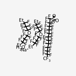 CCC(F)(F)C(F)(F)C(F)(F)OC(F)(F)C(F)(F)C(F)(F)CC.CCC(F)(F)C(F)(F)C(F)(F)OC(F)(F)C(F)(F)C(F)(F)CC.O.O=S(=O)([O-])C(F)(F)C(F)(F)C(F)(F)C(F)(F)C(F)(F)C(F)(F)C(F)(F)C(F)(F)C(F)(F)C(F)(F)C(F)(F)C(F)(F)F.[Na+]